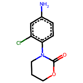 Nc1ccc(N2CCCOC2=O)c(Cl)c1